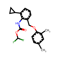 Cc1ccc(OCc2cccc(C3CC3)c2NC(=O)OC(F)F)c(C)c1